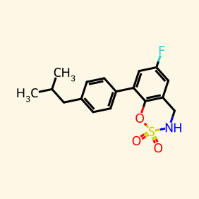 CC(C)Cc1ccc(-c2cc(F)cc3c2OS(=O)(=O)NC3)cc1